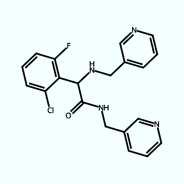 O=C(NCc1cccnc1)C(NCc1cccnc1)c1c(F)cccc1Cl